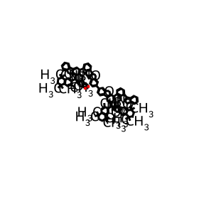 Cc1cc2c(cc1N1c3cc4c(oc5cc(-c6ccc7c(c6)oc6c8cccc9c8n(c76)B6c7c-9cc8c(oc9ccccc98)c7N(c7cc8c(cc7C)C(C)(C)CCC8(C)C)c7oc8ccccc8c76)ccc54)c4c3B(c3c1oc1cc5c(cc31)C(C)(C)CCC5(C)C)n1c3oc5ccccc5c3c3cccc-4c31)C(C)(C)CCC2(C)C